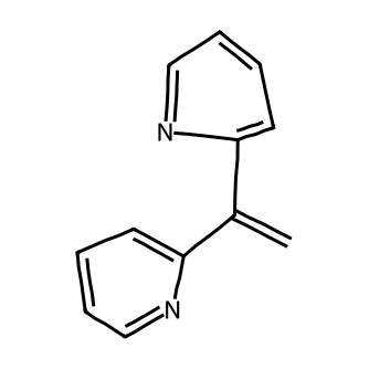 C=C(c1ccccn1)c1ccccn1